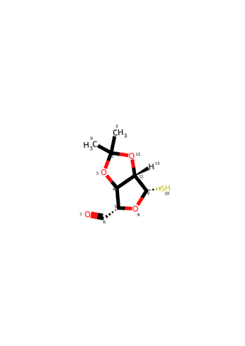 CC1(C)OC2[C@@H](C=O)O[C@@H](S)[C@H]2O1